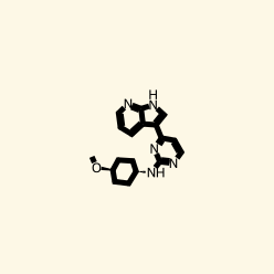 CO[C@H]1CC[C@H](Nc2nccc(-c3c[nH]c4ncccc34)n2)CC1